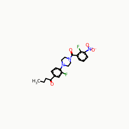 CCCC(=O)c1ccc(N2CCN(C(=O)c3cccc([N+](=O)[O-])c3F)CC2)c(F)c1